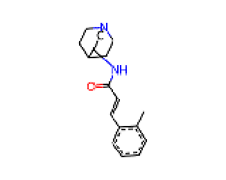 Cc1ccccc1/C=C/C(=O)NC1CN2CCC1CC2